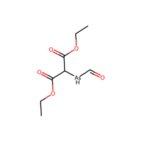 CCOC(=O)C([AsH]C=O)C(=O)OCC